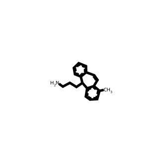 Cc1cccc2c1C=Cc1ccccc1C2CCCN